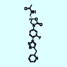 CC(=O)NC[C@H]1CN(c2ccc(-n3cc(Cc4ccccn4)nn3)c(F)c2)C(=O)O1